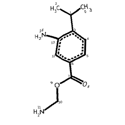 CC(C)c1ccc(C(=O)OCN)cc1N